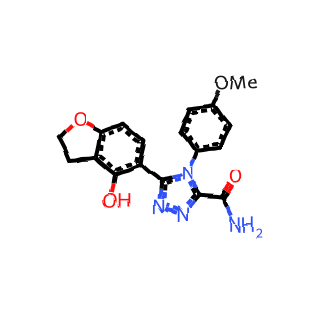 COc1ccc(-n2c(C(N)=O)nnc2-c2ccc3c(c2O)CCO3)cc1